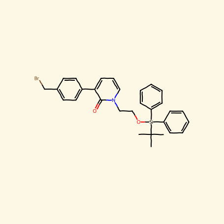 CC(C)(C)[Si](OCCn1cccc(-c2ccc(CBr)cc2)c1=O)(c1ccccc1)c1ccccc1